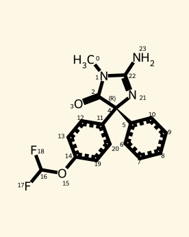 CN1C(=O)[C@@](c2ccccc2)(c2ccc(OC(F)F)cc2)N=C1N